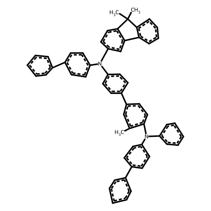 Cc1cc(-c2ccc(N(c3ccc(-c4ccccc4)cc3)c3ccc4c(c3)-c3ccccc3C4(C)C)cc2)ccc1N(c1ccccc1)c1ccc(-c2ccccc2)cc1